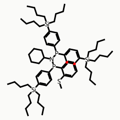 CCCC[Si](CCCC)(CCCC)c1ccc(P(c2ccc([Si](CCCC)(CCCC)CCCC)cc2)N(C2CCCCC2)P(c2ccc([Si](CCCC)(CCCC)CCCC)cc2)c2ccccc2SC)cc1